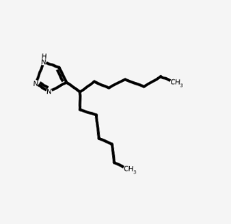 CCCCCCC(CCCCCC)c1c[nH]nn1